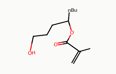 C=C(C)C(=O)OC(CCCC)CCCO